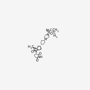 Cn1c(=O)n(C2CCC(=O)NC2=O)c2ccc([C@H]3CC[C@@H](N4CCN(C(=O)OC(C)(C)C)CC4)CC3)cc21